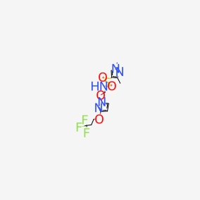 Cc1nn(C)cc1S(=O)(=O)NCOn1ccc(OCCC(F)(F)F)n1